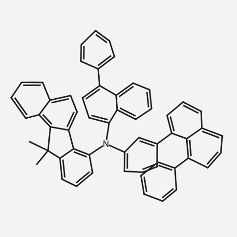 CC1(C)c2cccc(N(c3cccc(-c4cccc5cccc(-c6ccccc6)c45)c3)c3ccc(-c4ccccc4)c4ccccc34)c2-c2ccc3ccccc3c21